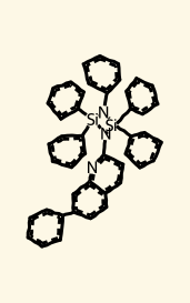 c1ccc(-c2ccc3ccc(N4[Si](c5ccccc5)(c5ccccc5)N(c5ccccc5)[Si]4(c4ccccc4)c4ccccc4)nc3c2)cc1